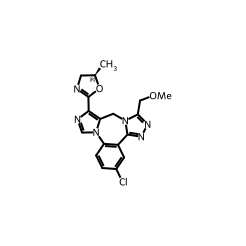 COCc1nnc2n1Cc1c(C3=NC[C@@H](C)O3)ncn1-c1ccc(Cl)cc1-2